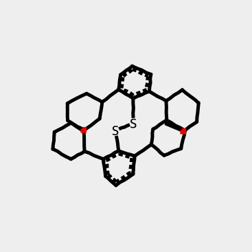 c1cc(C2CCCCC2)c(SSc2c(C3CCCCC3)cccc2C2CCCCC2)c(C2CCCCC2)c1